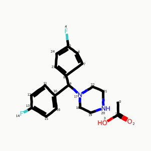 CC(=O)O.Fc1ccc(C(c2ccc(F)cc2)N2CCNCC2)cc1